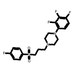 O=S(=O)(CCCN1CCN(c2ccc(F)c(F)c2F)CC1)c1ccc(F)cc1